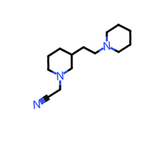 N#CCN1CCCC(CCN2CCCCC2)C1